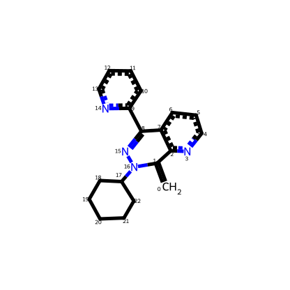 C=C1c2ncccc2C(c2ccccn2)=NN1C1CCCCC1